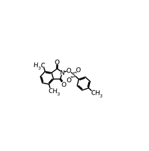 Cc1ccc(S(=O)(=O)ON2C(=O)c3c(C)ccc(C)c3C2=O)cc1